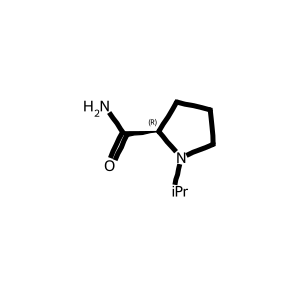 CC(C)N1CCC[C@@H]1C(N)=O